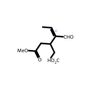 C/C=C(/C=O)C(CC(=O)O)CC(=O)OC